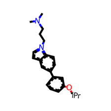 CC(C)Oc1cccc(-c2ccc3c(ccn3CCCN(C)C)c2)c1